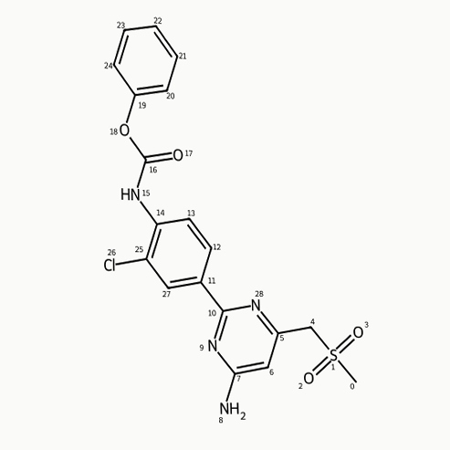 CS(=O)(=O)Cc1cc(N)nc(-c2ccc(NC(=O)Oc3ccccc3)c(Cl)c2)n1